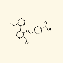 CCc1ccccc1-c1cccc(CBr)c1OCc1ccc(C(=O)O)cc1